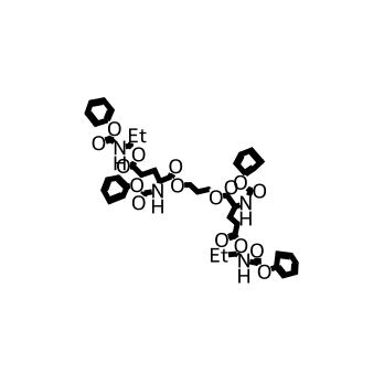 CCC(NC(=O)Oc1ccccc1)OC(=O)CCC(NC(=O)Oc1ccccc1)C(=O)OCCCOC(=O)C(CCC(=O)OC(CC)NC(=O)Oc1ccccc1)NC(=O)Oc1ccccc1